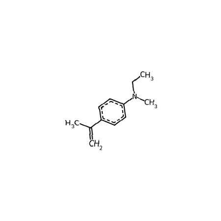 C=C(C)c1ccc(N(C)CC)cc1